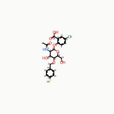 CC(=O)NC1C(Oc2ccc(Cl)cc2C(=O)O)OC(CO)C(OCc2ccc(F)cc2)C1O